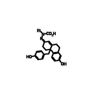 CCN(N=C1C=C2CCc3cc(O)ccc3C2(Cc2ccc(O)cc2)CC1)C(=O)O